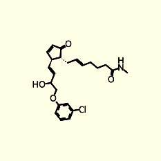 CNC(=O)CCCC=CC[C@H]1C(=O)C=C[C@@H]1C=CC(O)COc1cccc(Cl)c1